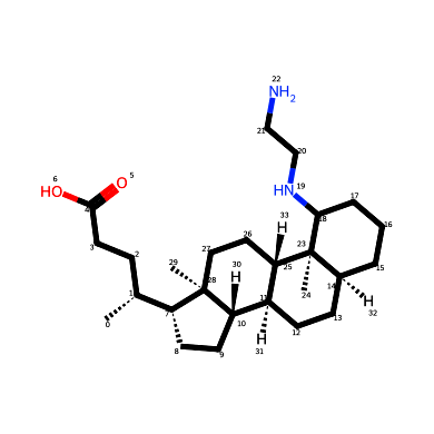 C[C@H](CCC(=O)O)[C@H]1CC[C@H]2[C@@H]3CC[C@@H]4CCCC(NCCN)[C@]4(C)[C@H]3CC[C@]12C